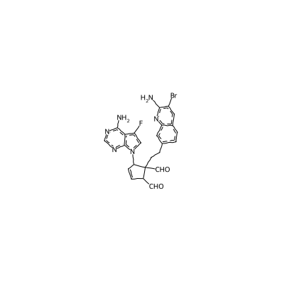 Nc1nc2cc(CCC3(C=O)C(C=O)C=CC3n3cc(F)c4c(N)ncnc43)ccc2cc1Br